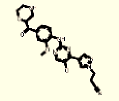 COc1cc(C(=O)C2CNCCO2)ccc1Nc1ncc(Cl)c(-c2cnn(CCC#N)c2)n1